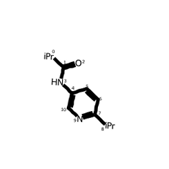 CC(C)C(=O)Nc1ccc(C(C)C)nc1